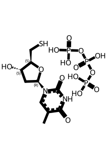 Cc1cn([C@H]2C[C@H](O)[C@@H](CS)O2)c(=O)[nH]c1=O.O=P(O)(O)OP(=O)(O)OP(=O)(O)O